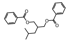 CC(C)CC(COC(=O)c1ccccc1)COC(=O)c1ccccc1